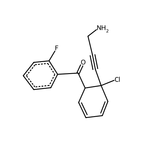 NCC#CC1(Cl)C=CC=CC1C(=O)c1ccccc1F